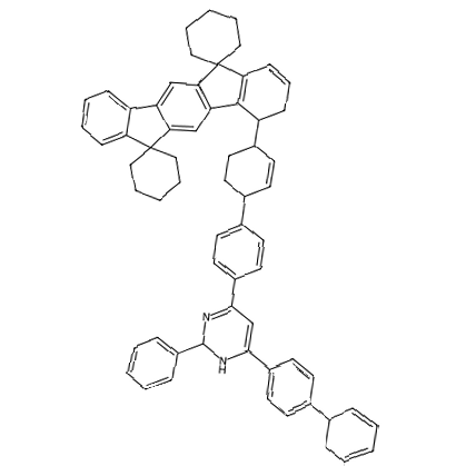 C1=CCC(c2ccc(C3=CC(c4ccc(C5C=CC(C6CC=CC7=C6c6cc8c(cc6C76CCCCC6)-c6ccccc6C86CCCCC6)CC5)cc4)=NC(c4ccccc4)N3)cc2)C=C1